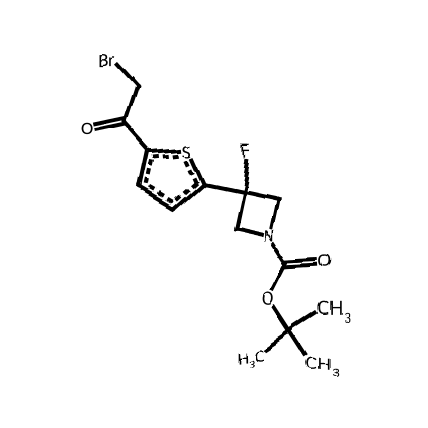 CC(C)(C)OC(=O)N1CC(F)(c2ccc(C(=O)CBr)s2)C1